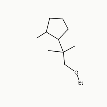 CCOCC(C)(C)C1CCCC1C